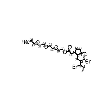 CCC(Br)C(CBr)CC1C(=O)CCC1CC(=O)OCCOCCOCCOCCO